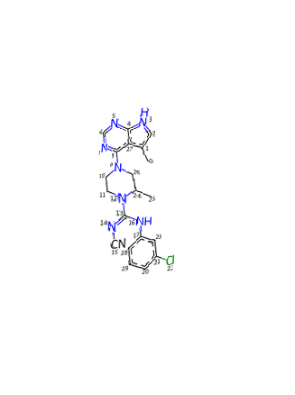 Cc1c[nH]c2ncnc(N3CCN(C(=NC#N)Nc4cccc(Cl)c4)C(C)C3)c12